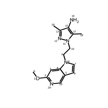 COc1cc2c(ccn2CCn2nc(C)c(N)c2C)cn1